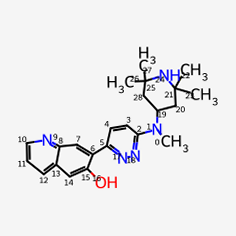 CN(c1ccc(-c2cc3ncccc3cc2O)nn1)C1CC(C)(C)NC(C)(C)C1